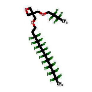 FC(F)(F)C(F)(F)C(F)(F)COCC1(COCCC(F)(F)C(F)(F)C(F)(F)C(F)(F)C(F)(F)C(F)(F)C(F)(F)C(F)(F)C(F)(F)C(F)(F)F)COC1